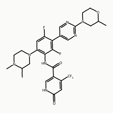 CC1CN(c2ncc(-c3c(F)cc(N4CCN(C)C(C)C4)c(NC(=O)c4c[nH]c(=O)cc4C(F)(F)F)c3F)cn2)CCO1